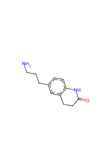 NCCCc1ccc2c(c1)CCC(=O)N2